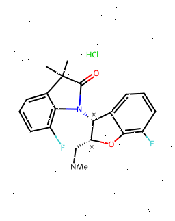 CNC[C@H]1Oc2c(F)cccc2[C@H]1N1C(=O)C(C)(C)c2cccc(F)c21.Cl